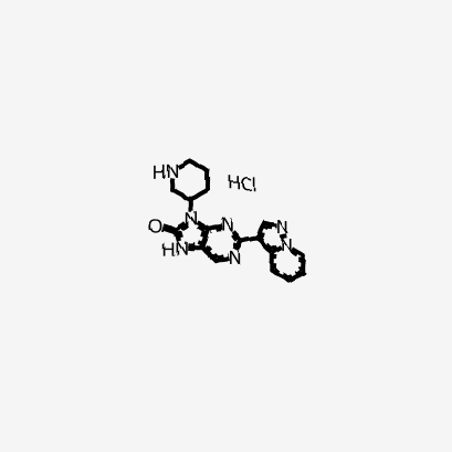 Cl.O=c1[nH]c2cnc(-c3cnn4ccccc34)nc2n1C1CCCNC1